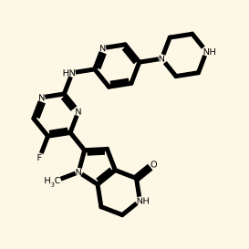 Cn1c(-c2nc(Nc3ccc(N4CCNCC4)cn3)ncc2F)cc2c1CCNC2=O